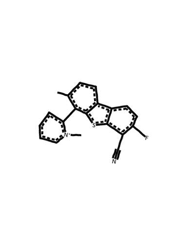 Cc1ccc2c(sc3c(C#N)c(F)ccc32)c1-c1cccc[n+]1C